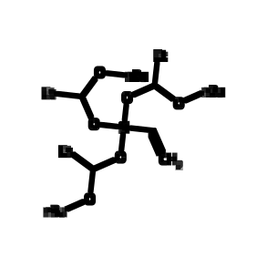 C=C[Si](OC(CC)OCCCC)(OC(CC)OCCCC)OC(CC)OCCCC